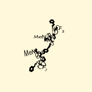 CN[C@@H](C)C(=O)N[C@@H](Cc1ccc(C#CCO[C@H](C)[C@H](NC(=O)[C@H](C)NC)C(=O)N2CCC[C@H]2CN(CCc2ccccc2)C(=O)C(F)(F)F)cc1)C(=O)N1CCC[C@H]1CN(CCc1ccccc1)C(=O)C(F)(F)F